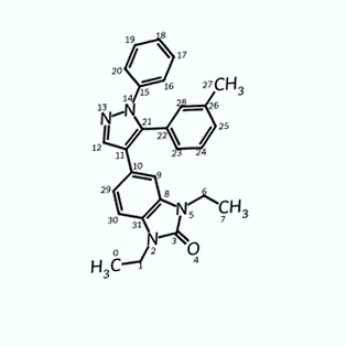 CCn1c(=O)n(CC)c2cc(-c3cnn(-c4ccccc4)c3-c3cccc(C)c3)ccc21